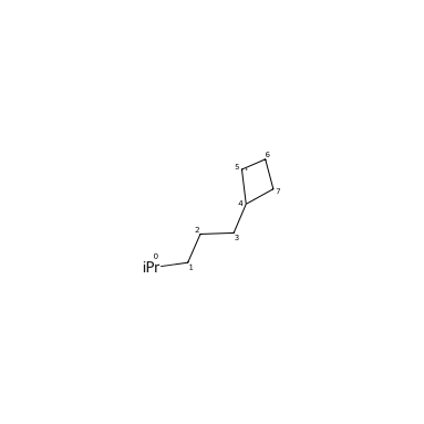 CC(C)CCCC1[CH]CC1